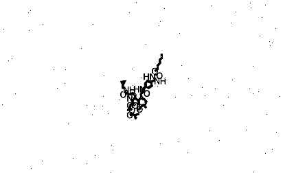 CCCCCCOC(=O)NC(=N)c1ccc(NC(=O)CC2=CCC(C)=C(OC)C=C2c2ccc(C(=O)NCC3CC3)nc2C(=O)OC(C)OC(=O)C(C)C)cc1